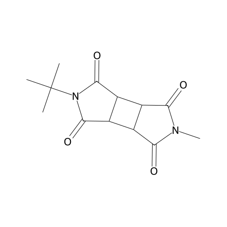 CN1C(=O)C2C(C1=O)C1C(=O)N(C(C)(C)C)C(=O)C21